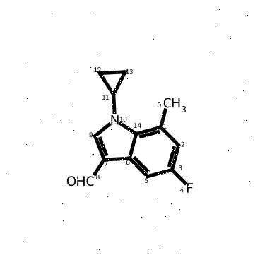 Cc1cc(F)cc2c(C=O)cn(C3CC3)c12